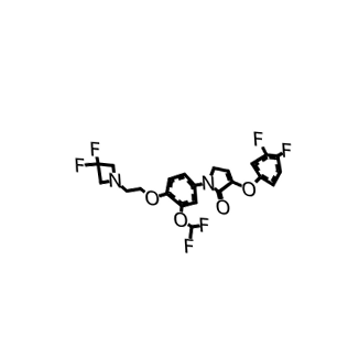 O=C1C(Oc2ccc(F)c(F)c2)=CCN1c1ccc(OCCN2CC(F)(F)C2)c(OC(F)F)c1